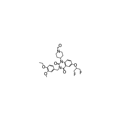 CCOc1ccc(Cn2c(=O)c3cc(OC(CF)CF)ccc3n(C3CCN(C=O)CC3)c2=O)cc1OC